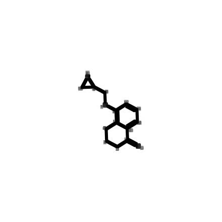 O=C1CCCc2c(OCC3CO3)cccc21